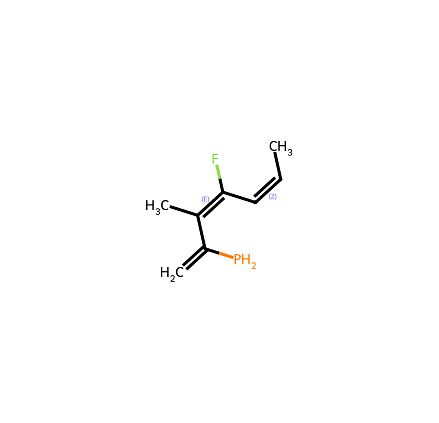 C=C(P)/C(C)=C(F)\C=C/C